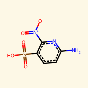 Nc1ccc(S(=O)(=O)O)c([N+](=O)[O-])n1